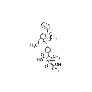 C/C=C/c1ccc(C(OC)=C2C3CC4CC(C3)CC2C4)c(Cl)c1OCc1ccc(C2=C(C(=O)O)N3C(=O)[C@H]([C@@H](C)O)[C@H]3[C@H]2C)cc1